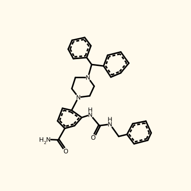 NC(=O)c1ccc(N2CCN(C(c3ccccc3)c3ccccc3)CC2)c(NC(=O)NCc2ccccc2)c1